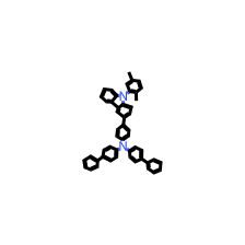 Cc1ccc(C)c(-n2c3ccccc3c3cc(-c4ccc(N(c5ccc(-c6ccccc6)cc5)c5ccc(-c6ccccc6)cc5)cc4)ccc32)c1